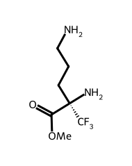 COC(=O)[C@](N)(CCCN)C(F)(F)F